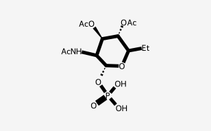 CCC1O[C@H](OP(=O)(O)O)C(NC(C)=O)[C@@H](OC(C)=O)[C@@H]1OC(C)=O